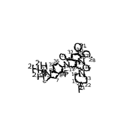 [2H]C([2H])([2H])n1c(C)cc2c(F)c(-n3cc(C(=O)N4CCC(F)CC4)c4nc(OC)c(OC)cc4c3=O)ccc21